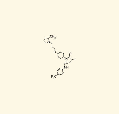 CC1CCCN1CCCOc1ccc(N2C(=O)C(I)C[C@H]2CNc2ccc(C(F)(F)F)cc2)cc1